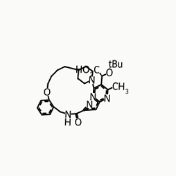 Cc1nc2cc3nn2c(c1[C@H](OC(C)(C)C)C(=O)O)N1CCC(CCCCOc2ccccc2CNC3=O)CC1